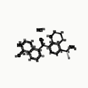 C[C@@H](N)c1ccc(C(=O)c2cccc3c(=O)[nH]ccc23)c2c1CCCO2.Cl